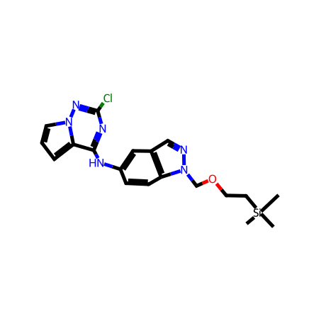 C[Si](C)(C)CCOCn1ncc2cc(Nc3nc(Cl)nn4cccc34)ccc21